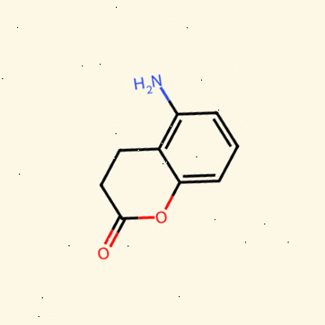 Nc1cccc2c1CCC(=O)O2